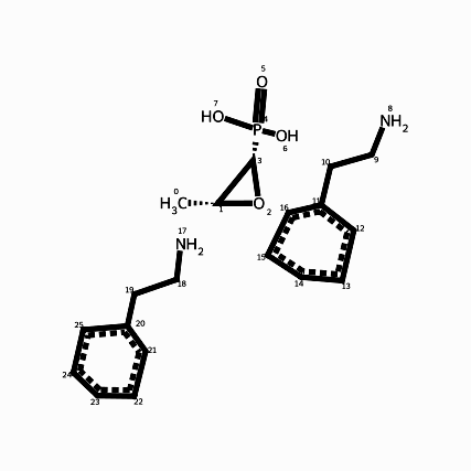 C[C@H]1O[C@H]1P(=O)(O)O.NCCc1ccccc1.NCCc1ccccc1